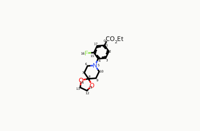 CCOC(=O)c1ccc(N2CCC3(CC2)OCCO3)c(F)c1